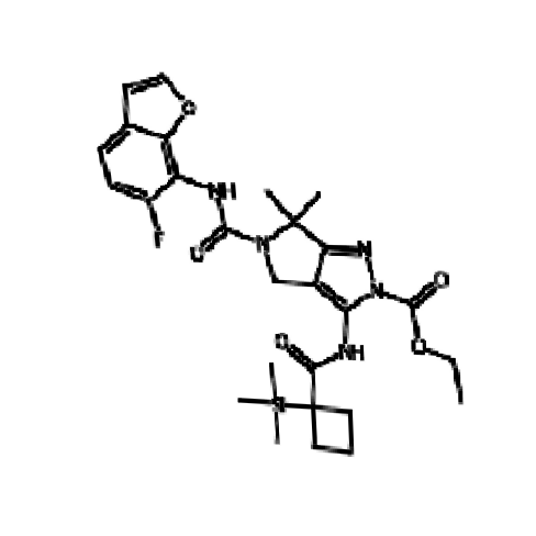 CCOC(=O)n1nc2c(c1NC(=O)C1([Si](C)(C)C)CCC1)CN(C(=O)Nc1c(F)ccc3ccoc13)C2(C)C